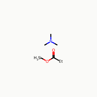 CCC(=O)O[SiH3].CN(C)C